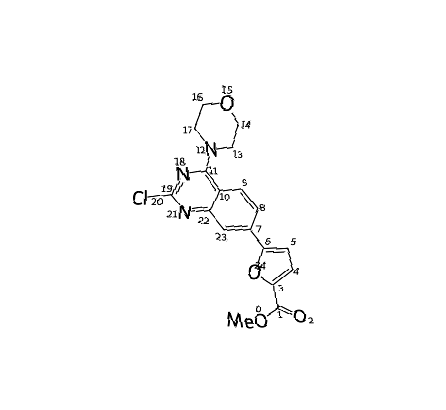 COC(=O)c1ccc(-c2ccc3c(N4CCOCC4)nc(Cl)nc3c2)o1